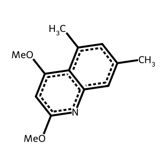 COc1cc(OC)c2c(C)cc(C)cc2n1